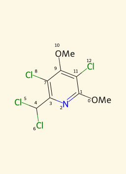 COc1nc(C(Cl)Cl)c(Cl)c(OC)c1Cl